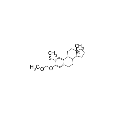 COCOc1cc2c(cc1SC)C1CC[C@]3(C)CCCC3C1CC2